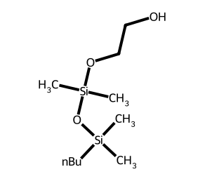 CCCC[Si](C)(C)O[Si](C)(C)OCCO